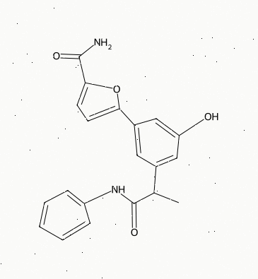 CC(C(=O)Nc1ccccc1)c1cc(O)cc(-c2ccc(C(N)=O)o2)c1